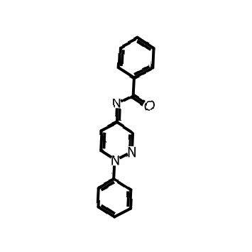 O=C(N=c1ccn(-c2ccccc2)nc1)c1ccccc1